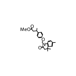 COC(=O)CC(C)c1ccc(OCN2C(=O)CC(C)(C)c3cc(C)ccc32)cc1